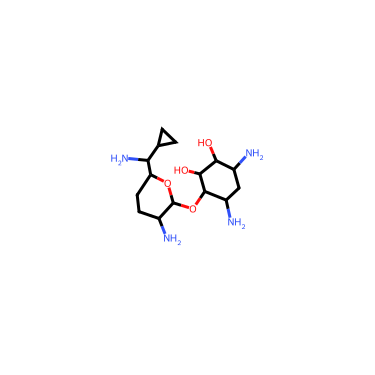 NC1CCC(C(N)C2CC2)OC1OC1C(N)CC(N)C(O)C1O